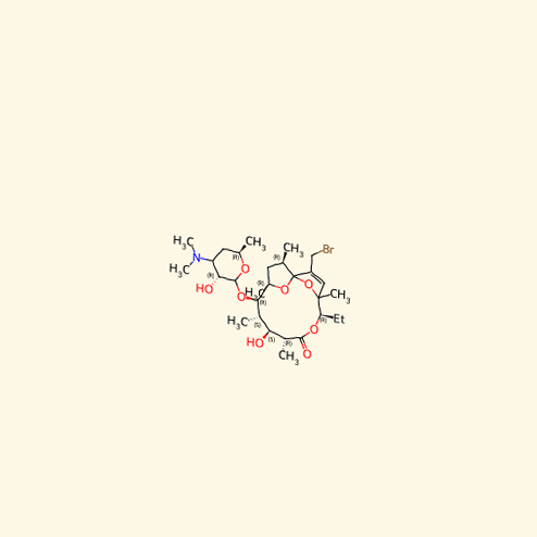 CC[C@H]1OC(=O)[C@H](C)[C@@H](O)[C@H](C)[C@@H](OC2O[C@H](C)CC(N(C)C)[C@H]2O)[C@@]2(C)C[C@@H](C)C3(OC1(C)C=C3CBr)O2